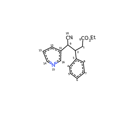 CCOC(=O)CC(c1ccccc1)C(C#N)c1cccnc1